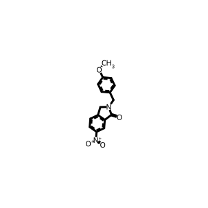 COc1ccc(CN2Cc3ccc([N+](=O)[O-])cc3C2=O)cc1